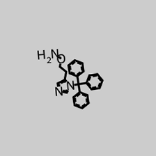 NOCCc1cncn1C(c1ccccc1)(c1ccccc1)c1ccccc1